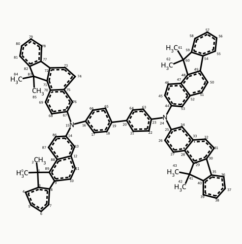 CC1(C)c2ccccc2-c2ccc3cc(N(c4ccc(-c5ccc(N(c6ccc7c8c(ccc7c6)-c6ccccc6C8(C)C)c6ccc7c8c(ccc7c6)-c6ccccc6C8(C)C)cc5)cc4)c4ccc5c6c(ccc5c4)-c4ccccc4C6(C)C)ccc3c21